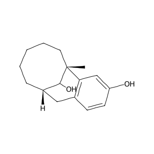 C[C@@]12CCCCC[C@@H](Cc3ccc(O)cc31)C2O